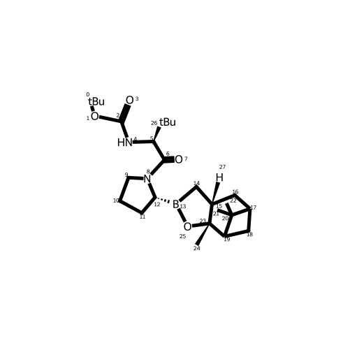 CC(C)(C)OC(=O)N[C@H](C(=O)N1CCC[C@H]1B1C[C@@H]2CC3CC(C3(C)C)[C@]2(C)O1)C(C)(C)C